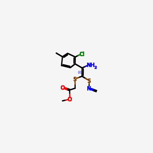 C=NS/C(SCC(=O)OC)=C(\N)c1ccc(C)cc1Cl